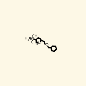 [CH3][Sn]([CH3])([CH3])[c]1ccc(CCOCc2ccccc2)nc1